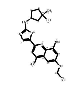 Cc1cc(-c2nnc(N[C@H]3CC[C@](C)(O)C3)o2)nc2c(C(C)(C)C)cc(OCC(F)(F)F)cc12